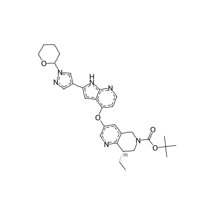 CC[C@H]1CN(C(=O)OC(C)(C)C)Cc2cc(Oc3ccnc4[nH]c(-c5cnn(C6CCCCO6)c5)cc34)cnc21